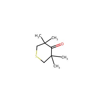 CC1(C)CSCC(C)(C)C1=O